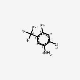 Nc1cc(C(F)(F)F)c(F)cc1Cl